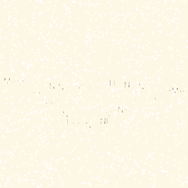 COC(=O)c1ccccc1N=NC1C(=O)NC(=O)C(CC(C2=C(C)C(N=Nc3ccccc3C(=O)OC)C(=O)NC2=O)c2ncc[nH]2)=C1C